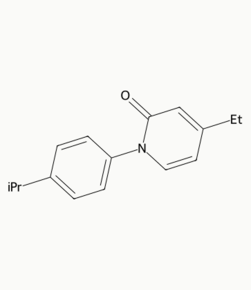 CCc1ccn(-c2ccc(C(C)C)cc2)c(=O)c1